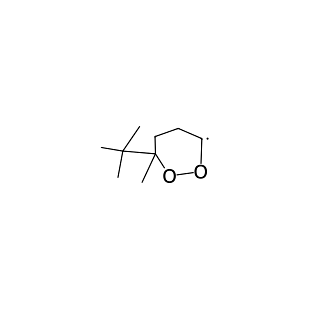 CC(C)(C)C1(C)CC[CH]OO1